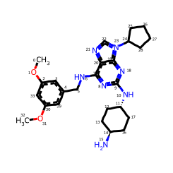 COc1cc(CNc2nc(N[C@H]3CC[C@H](N)CC3)nc3c2ncn3C2CCCC2)cc(OC)c1